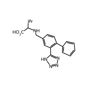 CC(C)C(NCc1ccc(-c2ccccc2)c(-c2nnn[nH]2)c1)C(=O)O